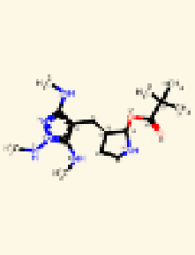 CNc1nn(NC)c(NC)c1C[C@@H]1CCNC1OC(=O)C(C)(C)C